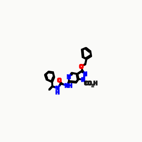 CC(NC(=O)Nc1cc2c(cn1)c(OCc1ccccc1)nn2C(=O)O)c1ccccc1